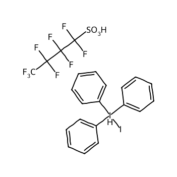 I[IH](c1ccccc1)(c1ccccc1)c1ccccc1.O=S(=O)(O)C(F)(F)C(F)(F)C(F)(F)C(F)(F)F